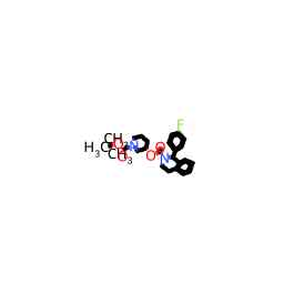 CC(C)(C)OC(=O)N1CCCC(OC(=O)N2CCc3ccccc3C2c2ccc(F)cc2)C1